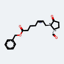 O=C[C@H]1CCC(=O)[C@@H]1C/C=C\CCCC(=O)OCc1ccccc1